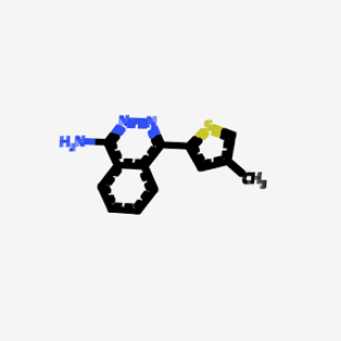 Cc1csc(-c2nnc(N)c3ccccc23)c1